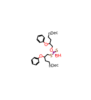 CCCCCCCCCCCCC(COP(O)(=S)SCC(CCCCCCCCCCCC)Oc1ccccc1)Oc1ccccc1